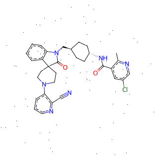 Cc1ncc(Cl)cc1C(=O)N[C@H]1CC[C@H](CN2C(=O)C3(CCN(c4cccnc4C#N)CC3)c3ccccc32)CC1